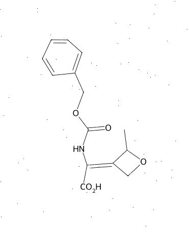 CC1OCC1=C(NC(=O)OCc1ccccc1)C(=O)O